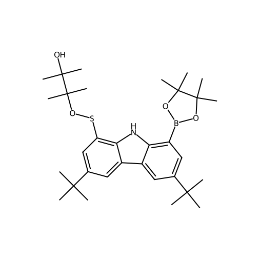 CC(C)(C)c1cc(SOC(C)(C)C(C)(C)O)c2[nH]c3c(B4OC(C)(C)C(C)(C)O4)cc(C(C)(C)C)cc3c2c1